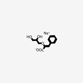 O=C([O-])C(=Cc1ccccc1)OCC(O)CO.[Na+]